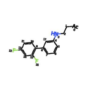 CC(=O)CCNc1cccc(-c2ccc(F)cc2F)c1